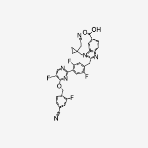 N#CCC1(Cn2c(Cc3cc(F)c(-c4ncc(F)c(OCc5ccc(C#N)cc5F)n4)cc3F)nc3ccc(C(=O)O)cc32)CC1